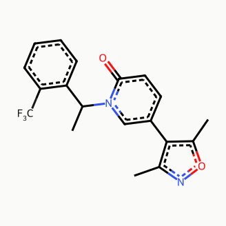 Cc1noc(C)c1-c1ccc(=O)n(C(C)c2ccccc2C(F)(F)F)c1